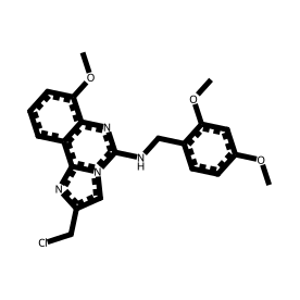 COc1ccc(CNc2nc3c(OC)cccc3c3nc(CCl)cn23)c(OC)c1